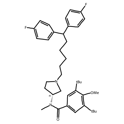 COc1c(C(C)(C)C)cc(C(=O)N(C)[C@@H]2CCN(CCCCCC(c3ccc(F)cc3)c3ccc(F)cc3)C2)cc1C(C)(C)C